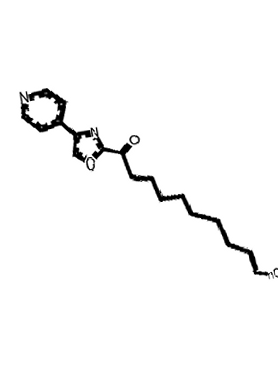 CCCCCCCCC=CCCCCCCCC(=O)c1nc(-c2ccncc2)co1